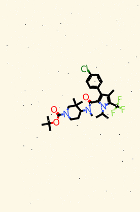 Cc1c(-c2ccc(Cl)cc2)c(C(=O)N(C)C2CCN(C(=O)OC(C)(C)C)CC2(C)C)n(C(C)C)c1C(F)(F)F